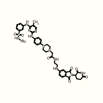 Cc1cnc(Nc2ccc(N3CCN(CC(=O)NCCNc4ccc5c(c4)C(=O)N(C4CCC(=O)NC4=O)C5=O)CC3)cc2)nc1Nc1cccc(S(=O)(=O)NC(C)(C)C)c1